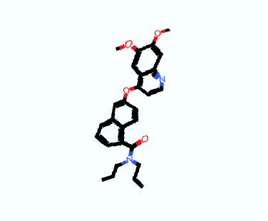 CCCN(CCC)C(=O)c1cccc2cc(Oc3ccnc4cc(OC)c(OC)cc34)ccc12